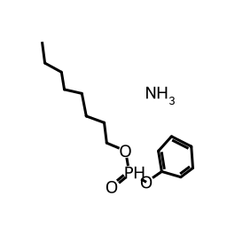 CCCCCCCCO[PH](=O)Oc1ccccc1.N